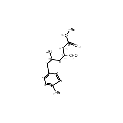 CC[C@H](Cc1ccc(C(C)(C)C)cc1)C[C@@H](C=O)NC(=O)OC(C)(C)C